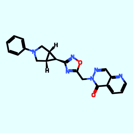 O=c1c2cccnc2cnn1Cc1nc([C@H]2[C@@H]3CN(c4ccccc4)C[C@@H]32)no1